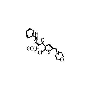 O=C(O)C(=NNc1ccccc1)C(=O)c1cc(CN2CCOCC2)sc1Cl